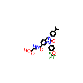 CC(C)c1ccc(N(Cc2ccc(C(=O)NCCC(=O)O)cc2)C(=O)Nc2ccc(OC(F)(F)F)cc2)cc1